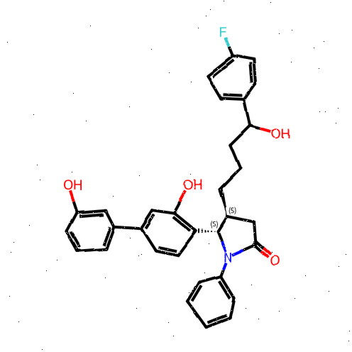 O=C1C[C@H](CCCC(O)c2ccc(F)cc2)[C@@H](c2ccc(-c3cccc(O)c3)cc2O)N1c1ccccc1